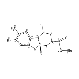 C[C@@H]1CN(C(=O)OC(C)(C)C)C[C@@H]2Cc3cc(Br)c(C(F)(F)F)cc3N21